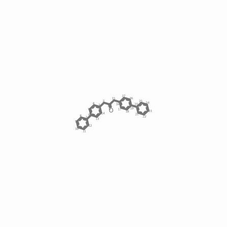 O=C(Cc1ccc(-c2ccccc2)cc1)Cc1ccc(-c2ccccc2)cc1